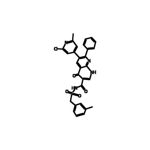 Cc1cccc(CS(=O)(=O)NC(=O)c2c[nH]c3nc(-c4ccccc4)c(-c4cc(C)nc(Cl)c4)cc3c2=O)c1